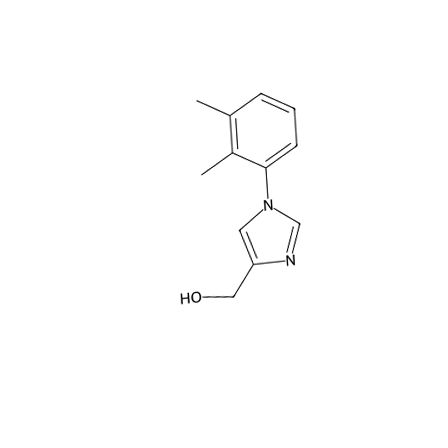 Cc1cccc(-n2cnc(CO)c2)c1C